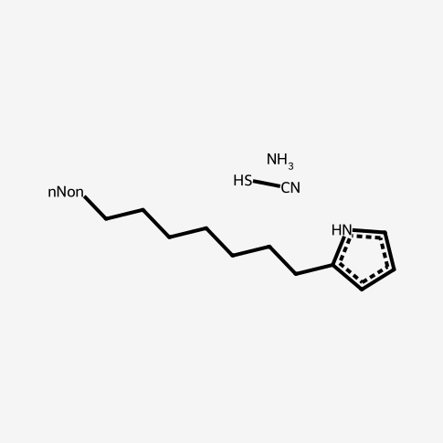 CCCCCCCCCCCCCCCCc1ccc[nH]1.N.N#CS